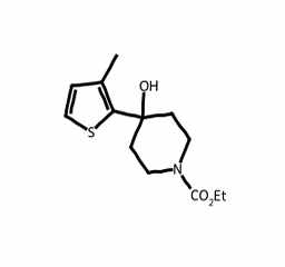 CCOC(=O)N1CCC(O)(c2sccc2C)CC1